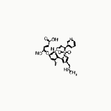 C=CC(c1cccnc1)S(=O)(=O)n1cc(CNC)cc1-c1ccccc1F.O=C(O)/C=C/C(=O)O